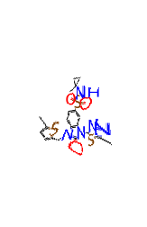 Cc1ccc(Cn2c(=O)n(-c3nnc(C)s3)c3cc(S(=O)(=O)NC4(C)CC4)ccc32)s1